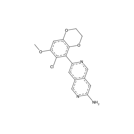 COc1cc2c(c(-c3cc4cnc(N)cc4cn3)c1Cl)OCCO2